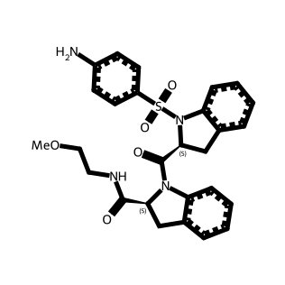 COCCNC(=O)[C@@H]1Cc2ccccc2N1C(=O)[C@@H]1Cc2ccccc2N1S(=O)(=O)c1ccc(N)cc1